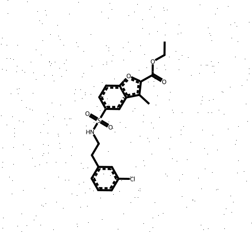 CCOC(=O)c1oc2ccc(S(=O)(=O)NCCc3cccc(Cl)c3)cc2c1C